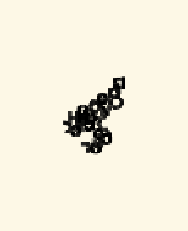 C=CC(C)OC(C)(C)C(=O)NS(=O)(=O)c1ccc2c(c1)N(C[C@@H]1CC[C@H]1[C@H](C=C)OC(=O)C(C)(C)OC(C)C=C)C[C@@]1(CCCc3cc(Cl)ccc31)CO2